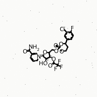 NC(=O)C1=CN([C@@H]2OC(COP3(=O)OCCC(c4ccc(F)c(Cl)c4)O3)[C@@H](OC(=O)C(F)(F)F)[C@H]2O)CC=C1